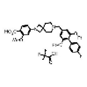 CCOc1cc(CN2CCC3(CC2)CN(c2ccc(C(=O)O)c(OC)c2)C3)cc(OCC)c1-c1ccc(F)cc1.O=C(O)C(F)(F)F